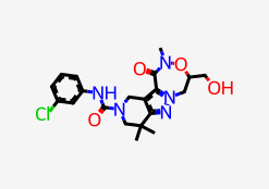 CN1OC(CO)Cn2nc3c(c2C1=O)CN(C(=O)Nc1cccc(Cl)c1)CC3(C)C